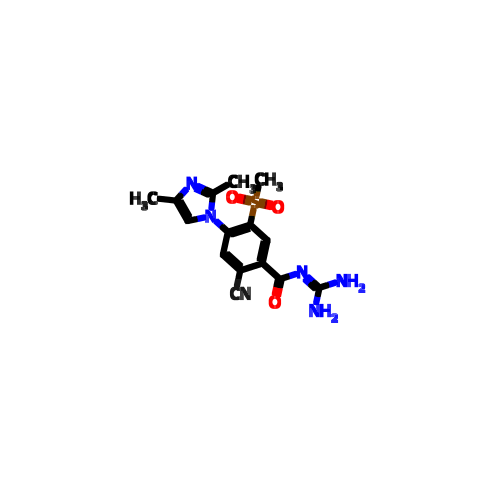 Cc1cn(-c2cc(C#N)c(C(=O)N=C(N)N)cc2S(C)(=O)=O)c(C)n1